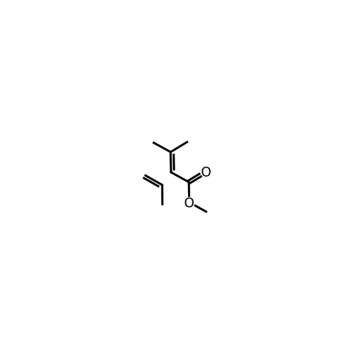 C=CC.COC(=O)C=C(C)C